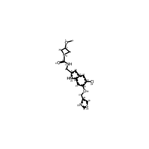 COC1CN(C(=O)NCc2cc3cc(Cl)c(OCc4cscn4)cc3[nH]2)C1